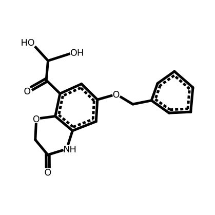 O=C1COc2c(cc(OCc3ccccc3)cc2C(=O)C(O)O)N1